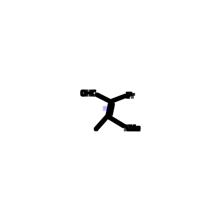 CN/C(C)=C(/C=O)C(C)C